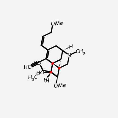 C#CC1=C(/C=C\COC)C[C@H]2N(C)CC[C@@]13[C@@H](O)[C@@]1(OC)CC[C@@]23C[C@@H]1[C@H](C)O